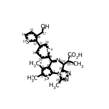 Cc1sc2c(c1C)C(c1ccc(-c3sccc3CO)cc1)=NC([C@H](C)C(=O)O)c1nnc(C)n1-2